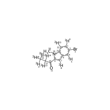 [2H]c1c(Br)c([2H])c2c([2H])c(C(=O)C([2H])([2H])C([2H])([2H])[2H])n(C)c2c1[2H]